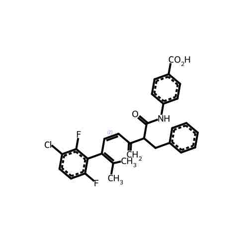 C=C(/C=C\C(=C(C)C)c1c(F)ccc(Cl)c1F)C(Cc1ccccc1)C(=O)Nc1ccc(C(=O)O)cc1